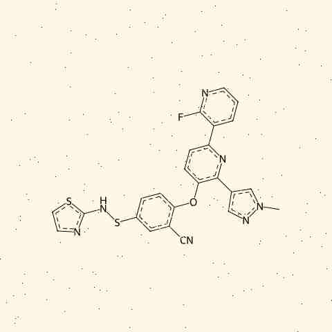 Cn1cc(-c2nc(-c3cccnc3F)ccc2Oc2ccc(SNc3nccs3)cc2C#N)cn1